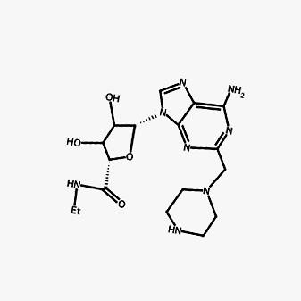 CCNC(=O)[C@H]1O[C@@H](n2cnc3c(N)nc(CN4CCNCC4)nc32)C(O)C1O